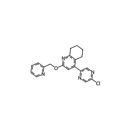 Clc1cnc(-c2cc(OCc3ccccn3)nc3c2CCCC3)cn1